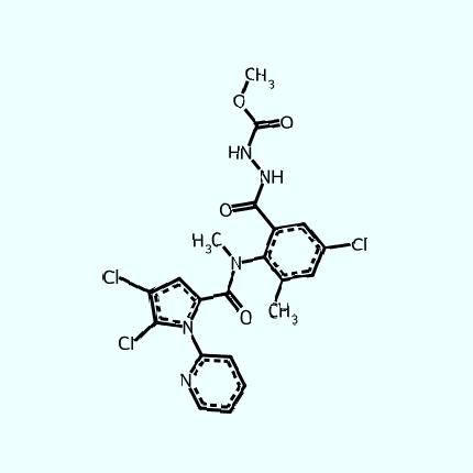 COC(=O)NNC(=O)c1cc(Cl)cc(C)c1N(C)C(=O)c1cc(Cl)c(Cl)n1-c1ccccn1